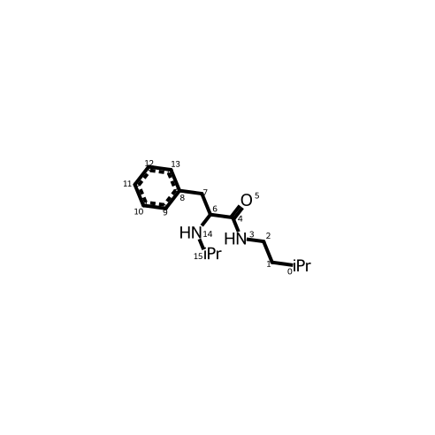 CC(C)CCNC(=O)C(Cc1ccccc1)NC(C)C